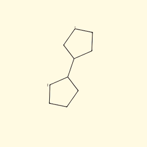 [C]1CCCC1C1C[CH]CC1